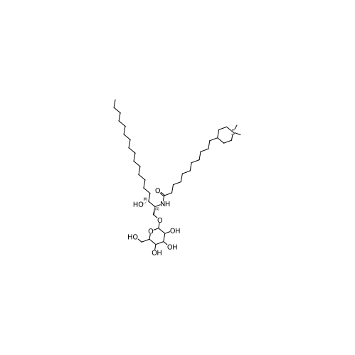 CCCCCCCCCCCCCCC[C@@H](O)[C@H](COC1OC(CO)C(O)C(O)C1O)NC(=O)CCCCCCCCCCC1CCS(C)(C)CC1